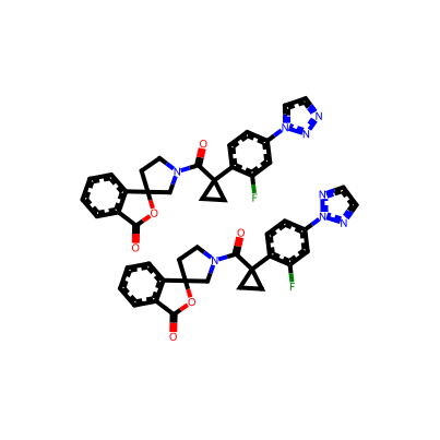 O=C1OC2(CCN(C(=O)C3(c4ccc(-n5ccnn5)cc4F)CC3)C2)c2ccccc21.O=C1OC2(CCN(C(=O)C3(c4ccc(-n5nccn5)cc4F)CC3)C2)c2ccccc21